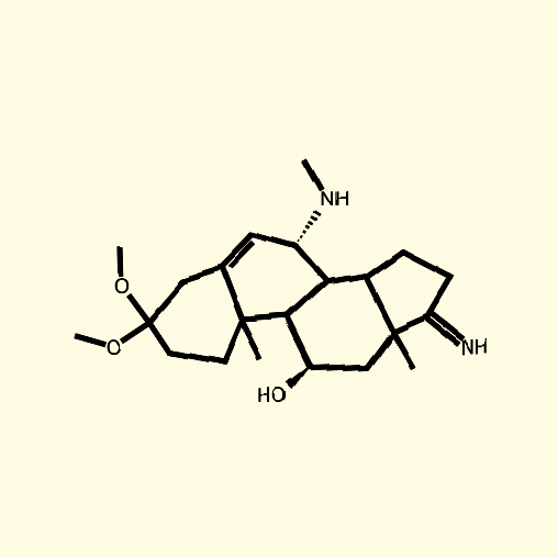 CN[C@H]1C=C2CC(OC)(OC)CCC2(C)C2C1C1CCC(=N)C1(C)C[C@H]2O